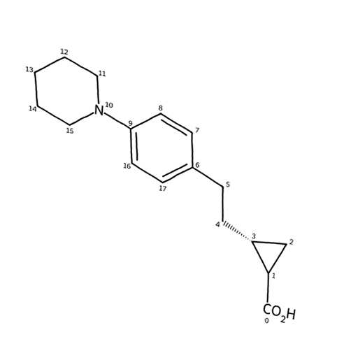 O=C(O)C1C[C@H]1CCc1ccc(N2CCCCC2)cc1